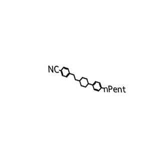 CCCCCc1ccc(C2CCC(CCc3ccc(C#N)cc3)CC2)cc1